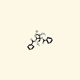 C=C[C@]1(OC(=O)c2ccccc2)C(OC(=O)c2ccccc2)O[C@H](CC)[C@H]1C